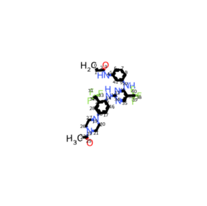 C=CC(=O)Nc1cccc(Nc2nc(Nc3ccc(N4CCN(C(C)=O)CC4)cc3C(F)(F)F)ncc2C(F)(F)F)c1